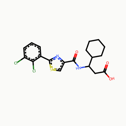 O=C(O)CC(NC(=O)c1csc(-c2cccc(Cl)c2Cl)n1)C1CCCCC1